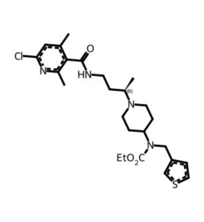 CCOC(=O)N(Cc1ccsc1)C1CCN([C@H](C)CCNC(=O)c2c(C)cc(Cl)nc2C)CC1